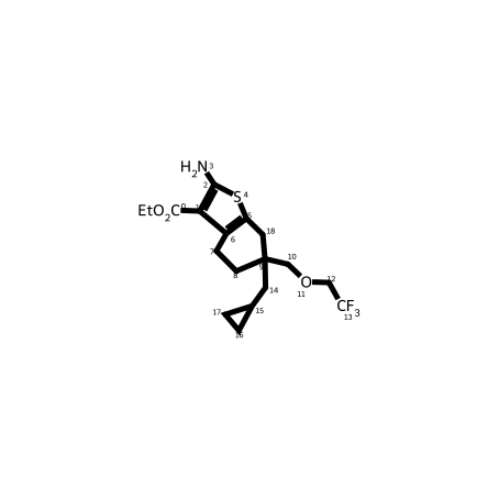 CCOC(=O)c1c(N)sc2c1CCC(COCC(F)(F)F)(CC1CC1)C2